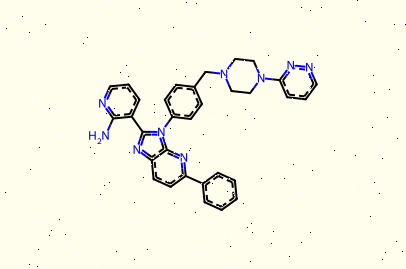 Nc1ncccc1-c1nc2ccc(-c3ccccc3)nc2n1-c1ccc(CN2CCN(c3cccnn3)CC2)cc1